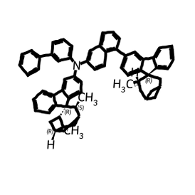 C[C@H]1CC2CC(C2)C[C@]12c1ccccc1-c1cc(-c3cccc4cc(N(c5cccc(-c6ccccc6)c5)c5ccc6c(c5)-c5ccccc5[C@@]65C6C[C@H]7CC(C[C@]67C)[C@@H]5C)ccc34)ccc12